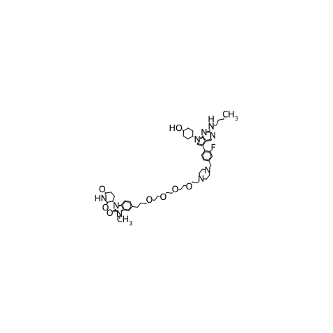 CCCCNc1ncc2c(-c3ccc(CN4CCN(CCOCCOCCOCCOCCCc5ccc6c(c5)n(C)c(=O)n6[C@H]5CCC(=O)NC5=O)CC4)cc3F)cn([C@H]3CC[C@H](O)CC3)c2n1